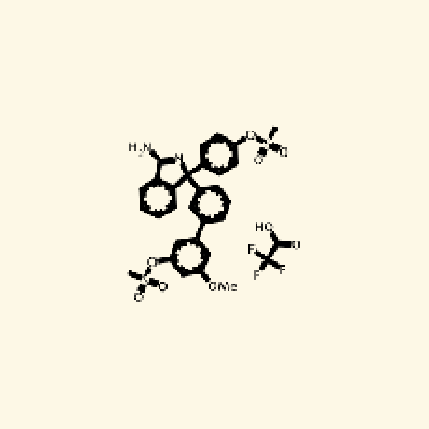 COc1cc(OS(C)(=O)=O)cc(-c2cccc(C3(c4ccc(OS(C)(=O)=O)cc4)N=C(N)c4ccccc43)c2)c1.O=C(O)C(F)(F)F